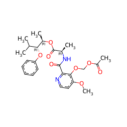 COc1ccnc(C(=O)N[C@H](C)C(=O)O[C@H](C)[C@H](Oc2ccccc2)C(C)C)c1OCOC(C)=O